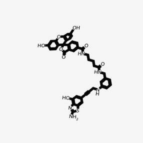 Nc1nc2c(O)cc(C#CCNc3cccc(CNC(=O)CCCCNC(=O)c4ccc5c(c4)C(=O)OC54c5ccc(O)cc5Oc5cc(O)ccc54)c3)cc2s1